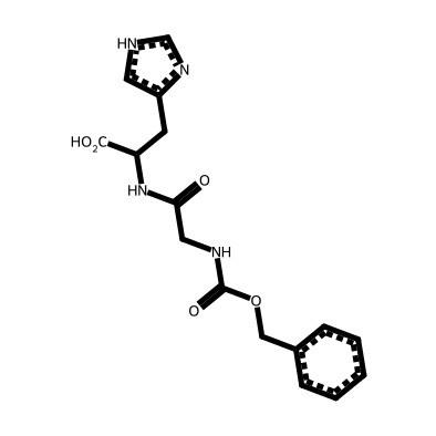 O=C(CNC(=O)OCc1ccccc1)NC(Cc1c[nH]cn1)C(=O)O